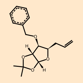 C=CC[C@H]1O[C@@H]2OC(C)(C)O[C@@H]2[C@H]1OCc1ccccc1